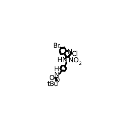 CC(C)(C)OC(=O)NCc1ccc(CNc2c([N+](=O)[O-])c(Cl)nc3cc(Br)ccc23)cc1